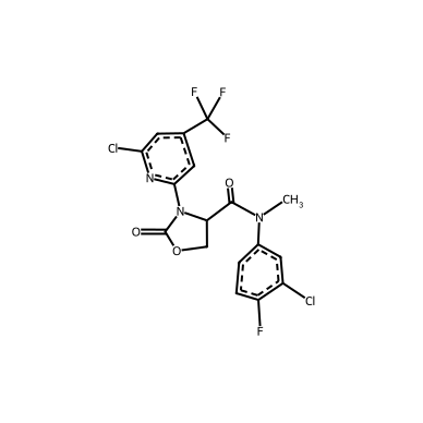 CN(C(=O)C1COC(=O)N1c1cc(C(F)(F)F)cc(Cl)n1)c1ccc(F)c(Cl)c1